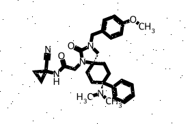 COc1ccc(CN2C[C@]3(CC[C@@](c4ccccc4)(N(C)C)CC3)N(CC(=O)NC3(C#N)CC3)C2=O)cc1